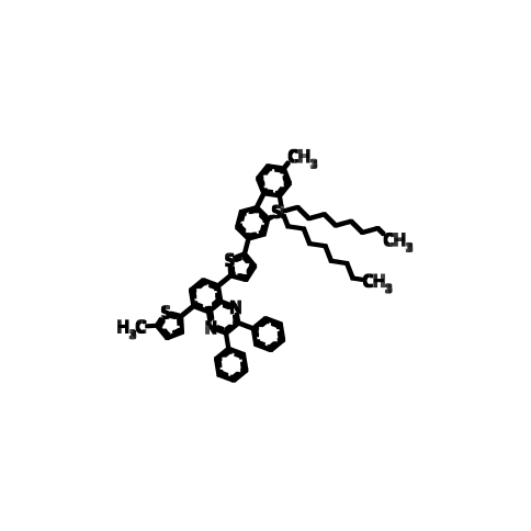 CCCCCCCC[Si]1(CCCCCCCC)c2cc(C)ccc2-c2ccc(-c3ccc(-c4ccc(-c5ccc(C)s5)c5nc(-c6ccccc6)c(-c6ccccc6)nc45)s3)cc21